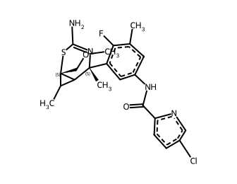 COC[C@@]12SC(N)=N[C@](C)(c3cc(NC(=O)c4ccc(Cl)cn4)cc(C)c3F)C1C2C